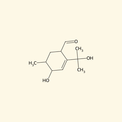 CC1CC(C=O)C(C(C)(C)O)=CC1O